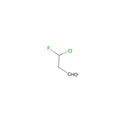 O=[C]CC(F)Cl